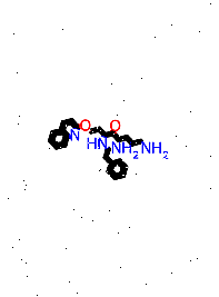 NCCC[C@@H](N)C(=O)C(CCOc1ccc2ccccc2n1)NCCc1ccccc1